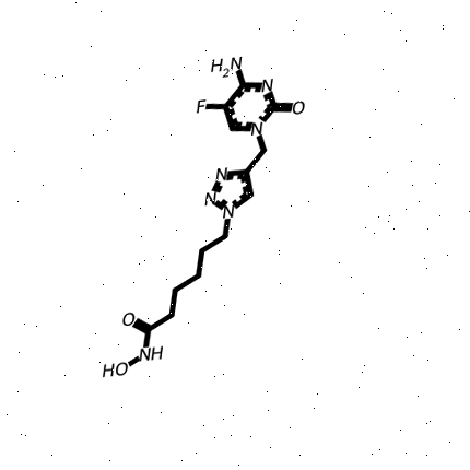 Nc1nc(=O)n(Cc2cn(CCCCCC(=O)NO)nn2)cc1F